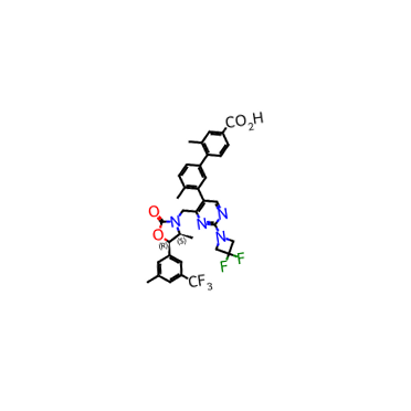 Cc1cc([C@H]2OC(=O)N(Cc3nc(N4CC(F)(F)C4)ncc3-c3cc(-c4ccc(C(=O)O)cc4C)ccc3C)[C@H]2C)cc(C(F)(F)F)c1